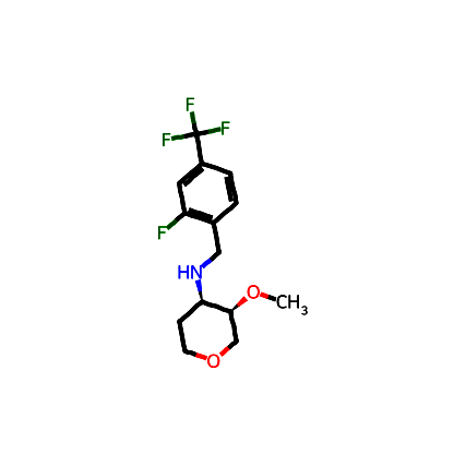 CO[C@H]1COCC[C@H]1NCc1ccc(C(F)(F)F)cc1F